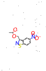 CC(=O)OCc1nsc2ccc([N+](=O)[O-])cc12